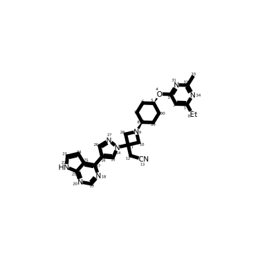 CCc1cc(O[C@H]2CC[C@H](N3CC(CC#N)(n4cc(-c5ncnc6[nH]ccc56)cn4)C3)CC2)nc(C)n1